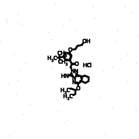 CCC(CC)Oc1nn2c(=N)n(CC(=O)c3cc(OCCCO)cc(C(C)(C)C)c3)nc2c2c1CCCC2.Cl